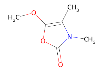 COc1oc(=O)n(C)c1C